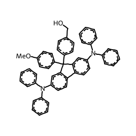 COc1ccc(C2(c3ccc(CO)cc3)c3cc(N(c4ccccc4)c4ccccc4)ccc3-c3ccc(N(c4ccccc4)c4ccccc4)cc32)cc1